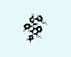 CC1c2ccccc2C(N(C(=O)[C@@H]2CCC(=O)N2c2cc(N)ccn2)c2cccc(F)c2)C(=O)N1C1CC(F)(F)C1